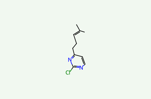 CC(C)=CCCc1ccnc(Cl)n1